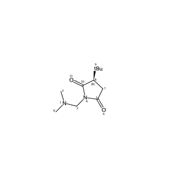 CN(C)CN1C(=O)C[C@H](C(C)(C)C)C1=O